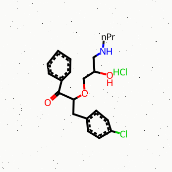 CCCNCC(O)COC(Cc1ccc(Cl)cc1)C(=O)c1ccccc1.Cl